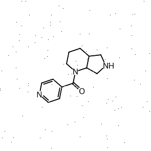 O=C(c1ccncc1)N1CCCC2CNCC21